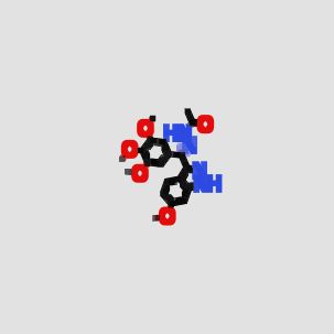 COc1ccc2c(/C(=N/NC(C)=O)c3cc(OC)c(OC)c(OC)c3)n[nH]c2c1